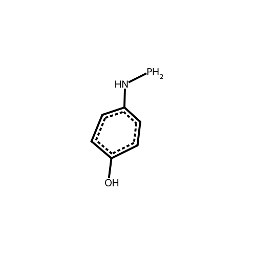 Oc1ccc(NP)cc1